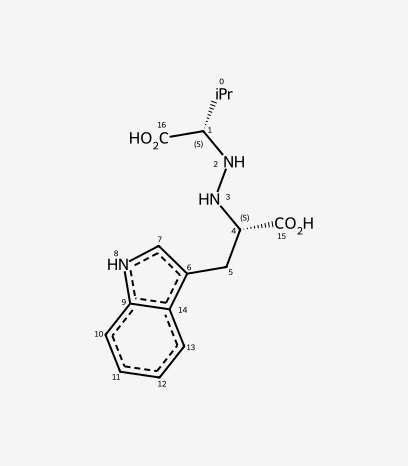 CC(C)[C@H](NN[C@@H](Cc1c[nH]c2ccccc12)C(=O)O)C(=O)O